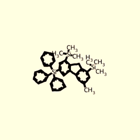 Cc1cc2c(c([Si](C)(C)C)c1)Cc1c-2cc([Si](c2ccccc2)(c2ccccc2)c2ccccc2)cc1[Si](C)(C)C